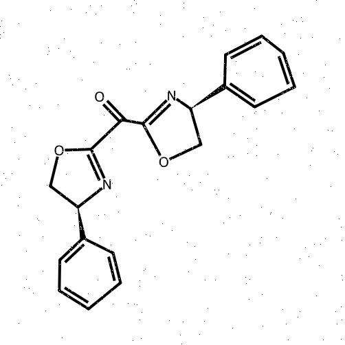 O=C(C1=N[C@@H](c2ccccc2)CO1)C1=N[C@@H](c2ccccc2)CO1